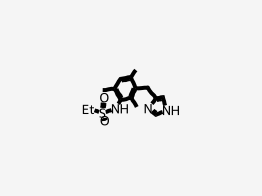 CCS(=O)(=O)Nc1c(C)cc(C)c(Cc2c[nH]cn2)c1C